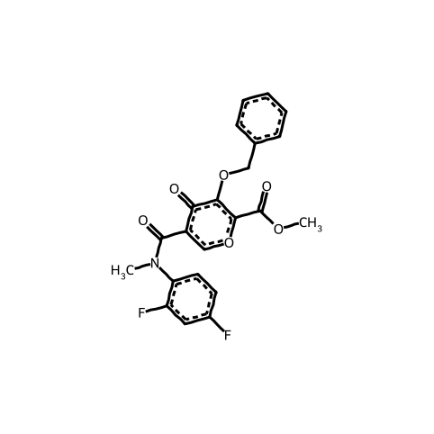 COC(=O)c1occ(C(=O)N(C)c2ccc(F)cc2F)c(=O)c1OCc1ccccc1